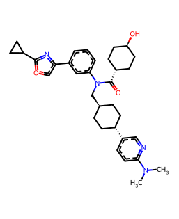 CN(C)c1ccc([C@H]2CC[C@H](CN(c3cccc(-c4coc(C5CC5)n4)c3)C(=O)[C@H]3CC[C@H](O)CC3)CC2)cn1